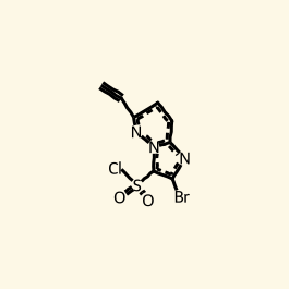 C#Cc1ccc2nc(Br)c(S(=O)(=O)Cl)n2n1